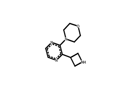 c1cnc(N2CCOCC2)c(C2CNC2)n1